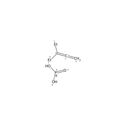 C=C=C(CC)CC.O=[PH](O)O